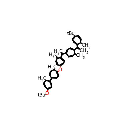 C=C(C1=CC=C(C(=C)C2=CC=C(C(C)(C)C)C=CC2C)C(C)C=C1)C1=CC=C(OC2=CC=C(C3=CC=C(OC(C)(C)C)C=CC3C)C=CC2C)C=CC1C